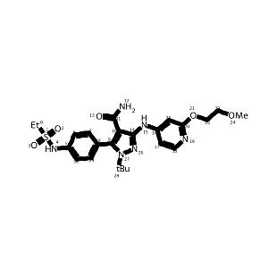 CCS(=O)(=O)Nc1ccc(-c2c(C(N)=O)c(Nc3ccnc(OCCOC)c3)nn2C(C)(C)C)cc1